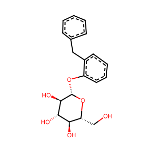 OC[C@H]1O[C@@H](Oc2ccccc2Cc2ccccc2)[C@H](O)[C@@H](O)[C@@H]1O